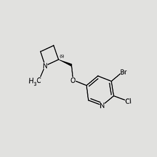 CN1CC[C@H]1COc1cnc(Cl)c(Br)c1